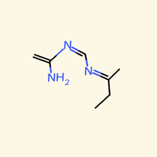 C=C(N)/N=C\N=C(/C)CC